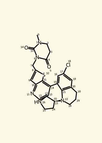 CN1CCC(=O)N(Cc2cc3nccc(-c4cc(Cl)cc5c4N([C@H]4CCNC4)CCC5)c3s2)C1=O